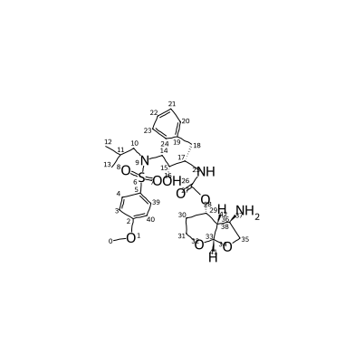 COc1ccc(S(=O)(=O)N(CC(C)C)C[C@@H](O)[C@H](Cc2ccccc2)NC(=O)O[C@H]2CCO[C@H]3OC[C@H](N)[C@H]32)cc1